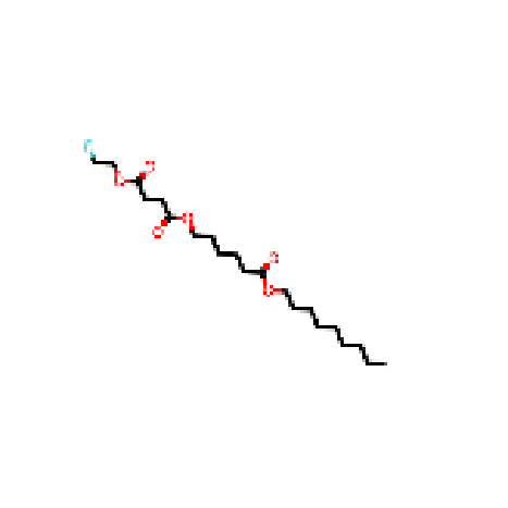 CCCCCCCCCOC(=O)CCCCCOC(=O)CCC(=O)OCCF